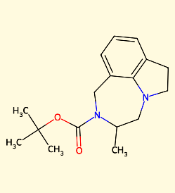 CC1CN2CCc3cccc(c32)CN1C(=O)OC(C)(C)C